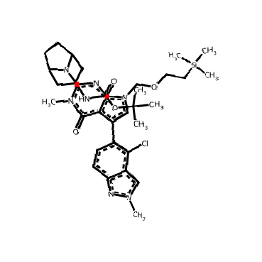 Cn1cc2c(Cl)c(-c3cn(COCC[Si](C)(C)C)c4nc(N5C6CCC5CC(NC(=O)OC(C)(C)C)C6)n(C)c(=O)c34)ccc2n1